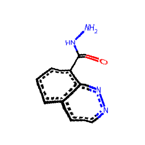 NNC(=O)c1cccc2ccnnc12